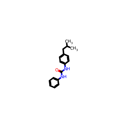 CC(C)Cc1ccc(NC(=O)Nc2ccccc2)cc1